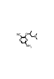 CC(CN(C)C)Oc1nc(N)cnc1C#N